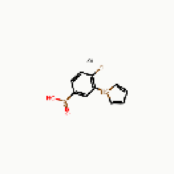 O=S(O)c1ccc(S)c([SH]2C=CC=C2)c1.[Zn]